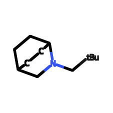 CC(C)(C)CN1CC2CCC1CC2